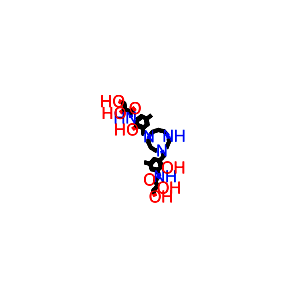 Cc1cc(CN2CCCNCCN(Cc3cc(C)cc(NC(=O)C(O)CO)c3O)CCC2)c(O)c(NC(=O)C(O)CO)c1